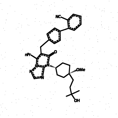 CCCc1c(Cc2ccc(-c3ccccc3C#N)cc2)c(=O)n([C@H]2CC[C@@](CCC(C)(C)O)(OC)CC2)c2ncnn12